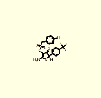 [2H]C1(c2ccc(C(F)(F)F)cc2)OC(N)=C(OS(=O)(=O)Cc2ccc(Cl)cc2)C1=O